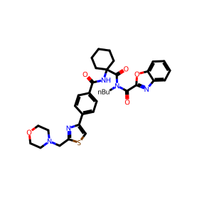 CCCCN(C(=O)c1nc2ccccc2o1)C(=O)C1(NC(=O)c2ccc(-c3csc(CN4CCOCC4)n3)cc2)CCCCC1